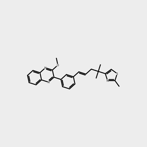 COc1nc2ccccc2nc1-c1cccc(/C=C/CC(C)(C)c2csc(C)n2)c1